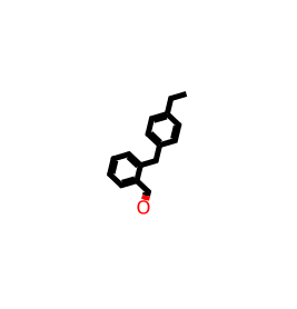 CCc1ccc(Cc2ccccc2C=O)cc1